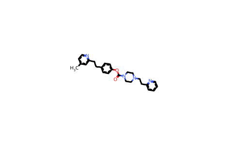 Cc1ccnc(CCc2ccc(OC(=O)N3CCN(CCc4ccccn4)CC3)cc2)c1